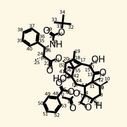 CC(=O)O[C@@]12CO[C@@H]1C[C@H](C)[C@@]1(C)C(=O)[C@H](O)C3=C(C)[C@@H](OC(=O)[C@H](C)[C@@H](NC(=O)OC(C)(C)C)c4ccccc4)C[C@@](O)([C@@H](OC(=O)c4ccccc4)C12)C3(C)C